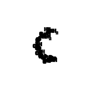 N=C(N)NCCC[C@H](N)C(=O)NCc1ccc(CNC(=O)c2ccc(NC(=O)c3ccc(CN(C(=O)c4ccc5c(c4)OCC(=O)N5)C4CC4)cc3)cc2)cc1